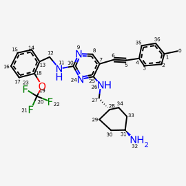 Cc1ccc(C#Cc2cnc(NCc3ccccc3OC(F)(F)F)nc2NC[C@H]2CC[C@H](N)CC2)cc1